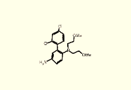 COCCN(CCOC)c1ccc(N)cc1-c1ccc(Cl)cc1Cl